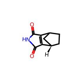 O=C1NC(=O)C2=C1C1CC[C@H]2C1